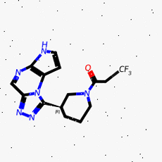 O=C(CC(F)(F)F)N1CCC[C@@H](c2nnc3cnc4[nH]ccc4n23)C1